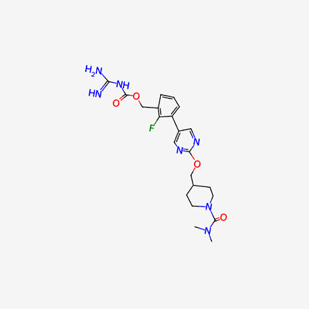 CN(C)C(=O)N1CCC(COc2ncc(-c3cccc(COC(=O)NC(=N)N)c3F)cn2)CC1